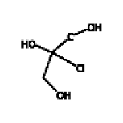 OCC(O)(Cl)CO